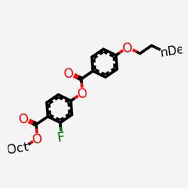 CCCCCCCCCCCCOc1ccc(C(=O)Oc2ccc(C(=O)OCCCCCCCC)c(F)c2)cc1